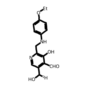 [2H]C(O)c1cnc(CNc2ccc(OCC)cc2)c(O)c1C=O